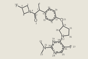 CC(C(=O)N1CC(F)C1)c1ccc(OC2CCN(c3nc(N(C)C)ncc3F)C2)cc1